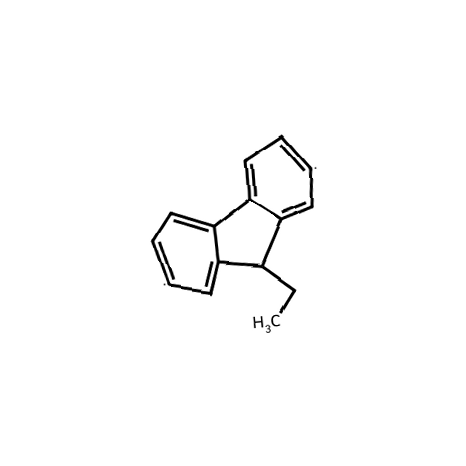 CCC1c2c[c]ccc2-c2cc[c]cc21